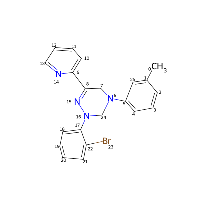 Cc1cccc(N2CC(c3ccccn3)=NN(c3ccccc3Br)C2)c1